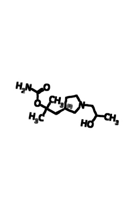 CC(O)CN1CC[C@H](CC(C)(C)OC(N)=O)C1